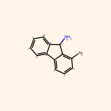 CC(=O)c1cccc2c1C(N)c1ccccc1-2